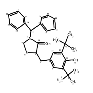 CC(C)(C)c1cc(CC2SCN(C(c3ccccc3)c3ccccc3)C2=O)cc(C(C)(C)C)c1O